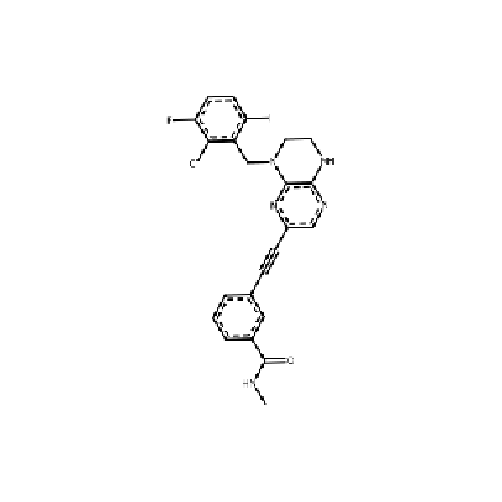 CNC(=O)c1cccc(C#Cc2cnc3c(n2)N(Cc2c(F)ccc(F)c2Cl)CCN3)c1